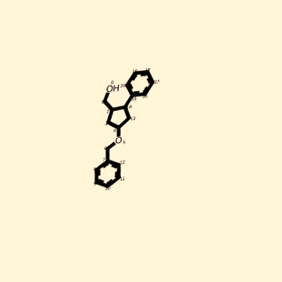 OCC1CC(OCc2ccccc2)CC1c1ccccc1